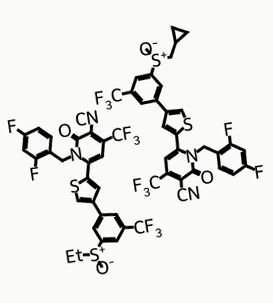 CC[S+]([O-])c1cc(-c2csc(-c3cc(C(F)(F)F)c(C#N)c(=O)n3Cc3ccc(F)cc3F)c2)cc(C(F)(F)F)c1.N#Cc1c(C(F)(F)F)cc(-c2cc(-c3cc([S+]([O-])CC4CC4)cc(C(F)(F)F)c3)cs2)n(Cc2ccc(F)cc2F)c1=O